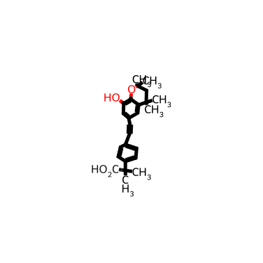 CC1(C)CC(C)(C)c2cc(C#Cc3ccc(C(C)(C)C(=O)O)cc3)cc(O)c2O1